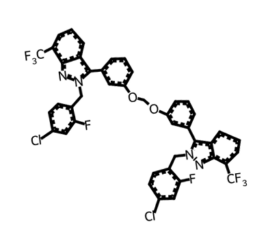 Fc1cc(Cl)ccc1Cn1nc2c(C(F)(F)F)cccc2c1-c1cccc(OCOc2cccc(-c3c4cccc(C(F)(F)F)c4nn3Cc3ccc(Cl)cc3F)c2)c1